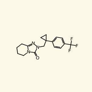 O=c1n(CC2(c3ccc(C(F)(F)F)cc3)CC2)nc2n1CCCC2